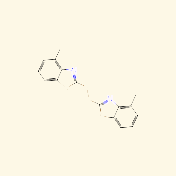 Cc1cccc2sc(SSc3nc4c(C)cccc4s3)nc12